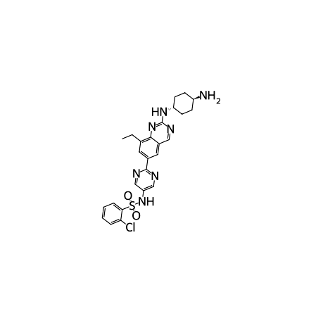 CCc1cc(-c2ncc(NS(=O)(=O)c3ccccc3Cl)cn2)cc2cnc(N[C@H]3CC[C@H](N)CC3)nc12